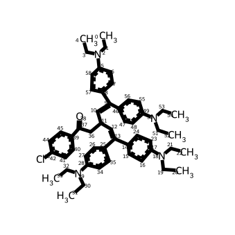 CCN(CC)c1ccc(C(=CC(C=C(c2ccc(N(CC)CC)cc2)c2ccc(N(CC)CC)cc2)CC(=O)c2ccc(Cl)cc2)c2ccc(N(CC)CC)cc2)cc1